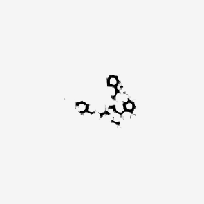 N#Cc1ccc(CNC(=O)c2nc(NC(=O)c3nsc4ccccc34)c3n2CC(=O)NC3c2cc(F)ccc2Cl)cn1